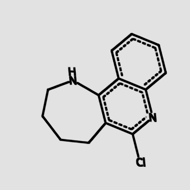 Clc1nc2ccccc2c2c1CCCCN2